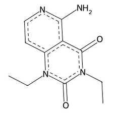 CCn1c(=O)c2c(N)nccc2n(CC)c1=O